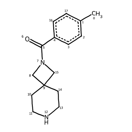 Cc1ccc(C(=O)N2CC3(CCNCC3)C2)cc1